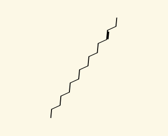 CCC=CCCCCCCCCCCCC